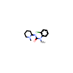 CCCCN(C(=O)N=C1CCCCN1C)c1ccccc1Cl